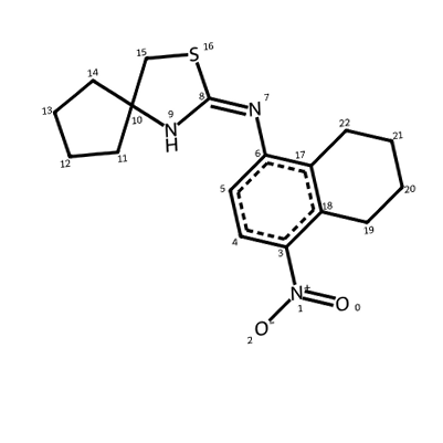 O=[N+]([O-])c1ccc(/N=C2\NC3(CCCC3)CS2)c2c1CCCC2